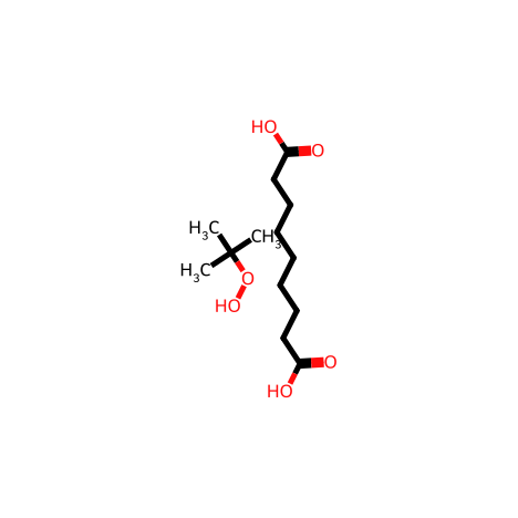 CC(C)(C)OO.O=C(O)CCCCCCCC(=O)O